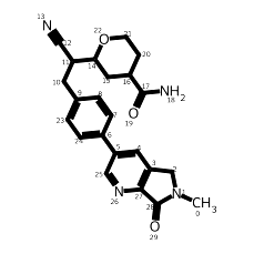 CN1Cc2cc(-c3ccc(CC(C#N)C4CC(C(N)=O)CCO4)cc3)cnc2C1=O